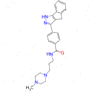 CN1CCN(CCCNC(=O)c2ccc(-c3n[nH]c4c3Cc3ccccc3-4)cc2)CC1